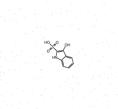 O=S(=O)(O)c1[nH]c2ccccc2c1O